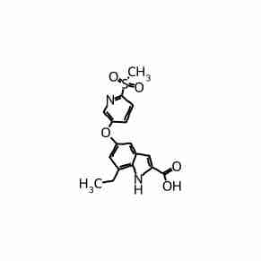 CCc1cc(Oc2ccc(S(C)(=O)=O)nc2)cc2cc(C(=O)O)[nH]c12